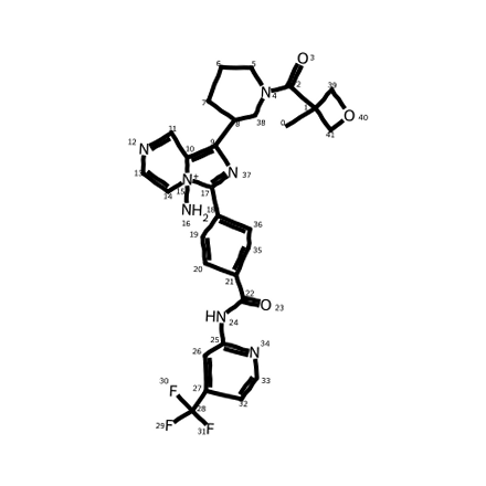 CC1(C(=O)N2CCCC(C3=C4C=NC=C[N+]4(N)C(c4ccc(C(=O)Nc5cc(C(F)(F)F)ccn5)cc4)=N3)C2)COC1